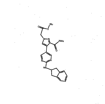 CNC(=O)c1nn(CC(=O)OC(C)(C)C)cc1-c1cnc(NC2Cc3ccccc3C2)nc1